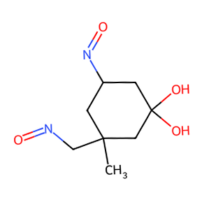 CC1(CN=O)CC(N=O)CC(O)(O)C1